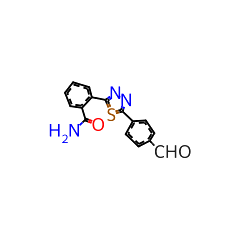 NC(=O)c1ccccc1-c1nnc(-c2ccc(C=O)cc2)s1